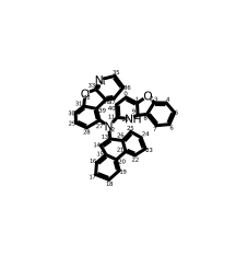 C1=C2Oc3ccccc3C2NC(N(c2cc3ccccc3c3ccccc23)c2cccc3oc4ncccc4c23)=C1